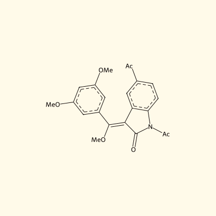 COC(=C1C(=O)N(C(C)=O)c2ccc(C(C)=O)cc21)c1cc(OC)cc(OC)c1